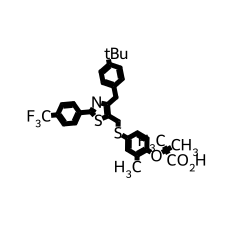 Cc1cc(SCc2sc(-c3ccc(C(F)(F)F)cc3)nc2Cc2ccc(C(C)(C)C)cc2)ccc1OC(C)(C)C(=O)O